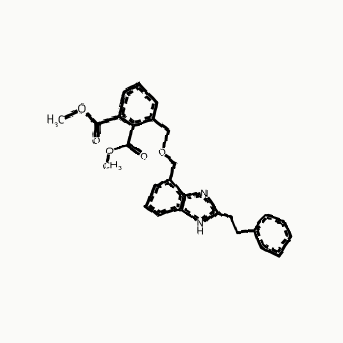 COC(=O)c1cccc(COCc2cccc3[nH]c(CCc4ccccc4)nc23)c1C(=O)OC